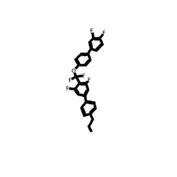 CCCc1ccc(-c2cc(F)c(C(F)(F)Oc3ccc(-c4ccc(F)c(F)c4)cc3)c(F)c2)cc1